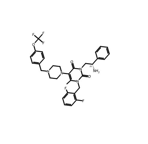 Cc1c(N2CCN(Cc3ccc(OC(F)(F)F)cc3)CC2)c(=O)n(C[C@@H](N)c2ccccc2)c(=O)n1Cc1c(F)cccc1F